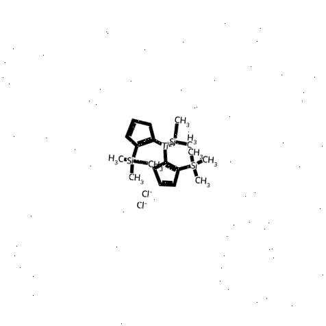 C[Si](C)=[Ti+2]([C]1=C([Si](C)(C)C)C=CC1)[C]1=C([Si](C)(C)C)C=CC1.[Cl-].[Cl-]